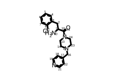 NC(Cc1ccccc1C(F)(F)F)C(=O)N1CCN(Cc2ccncc2)CC1